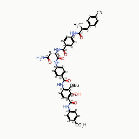 C/C(=C\c1ccc(C#N)cc1)C(=O)Nc1ccc(C(=O)N[C@@H](CC(N)=O)C(=O)Nc2ccc(C(=O)Nc3ccc(C(=O)Nc4ccc(C(=O)O)cc4)c(O)c3OCC(C)C)cc2)cc1